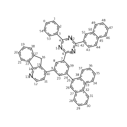 c1ccc(-c2nc(-c3cc(-c4ccnc5c4Cc4ccccc4-5)cc(-c4cc5ccccc5c5ccccc45)c3)nc(-c3ccc4ccccc4c3)n2)cc1